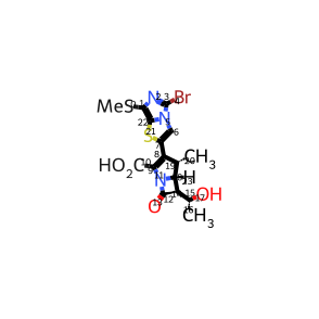 CSc1nc(Br)n2cc(C3=C(C(=O)O)N4C(=O)[C@H]([C@@H](C)O)[C@H]4[C@H]3C)sc12